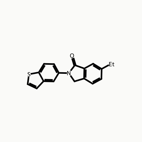 CCc1ccc2c(c1)C(=O)N(c1ccc3sccc3c1)C2